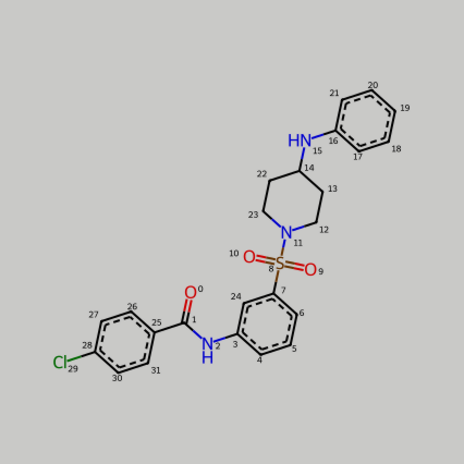 O=C(Nc1cccc(S(=O)(=O)N2CCC(Nc3ccccc3)CC2)c1)c1ccc(Cl)cc1